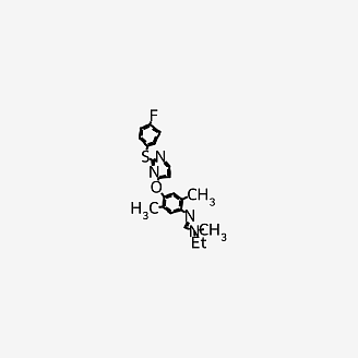 CCN(C)/C=N/c1cc(C)c(Oc2ccnc(Sc3ccc(F)cc3)n2)cc1C